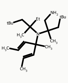 CC=CC(C)(C=CC)N(C(C)(CC)CC(C)(C)C)C(C)(CN)CC(C)(C)C